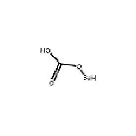 O=C(O)[O][BaH]